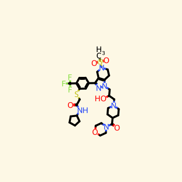 CS(=O)(=O)N1CCc2c(c(-c3ccc(C(F)(F)F)c(SCC(=O)NC4CCCC4)c3)nn2CC(O)CN2CCC(C(=O)N3CCOCC3)CC2)C1